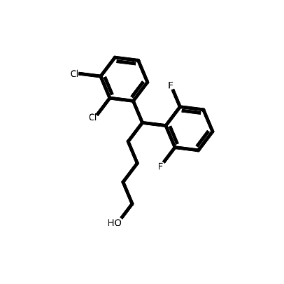 OCCCCC(c1cccc(Cl)c1Cl)c1c(F)cccc1F